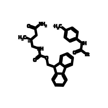 C[C@H](CNC(=O)OCC1c2ccccc2-c2ccccc21)CC(N)=O.[CH2]c1ccc(NC(=O)CC)cc1